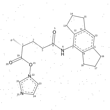 C[C@H](CCC(=O)Nc1c2c(cc3c1CCC3)CCC2)C(=O)On1ccnc1